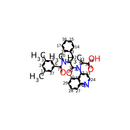 Cc1cc(C)cc(C(=O)N(C)[C@@H](Cc2ccccc2)C(=O)N(c2ccnc3ccccc23)[C@@H](C)C(=O)O)c1